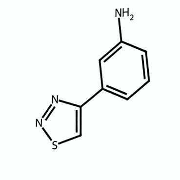 Nc1cccc(-c2csnn2)c1